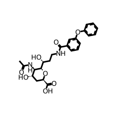 CC(=O)N[C@H]1[C@H]([C@H](O)CCNC(=O)c2cccc(Oc3ccccc3)c2)O[C@@H](C(=O)O)C[C@@H]1O